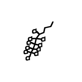 CCCCC(Cl)C(Cl)(Cl)C(Cl)(Cl)C(Cl)(Cl)C(Cl)(Cl)Cl